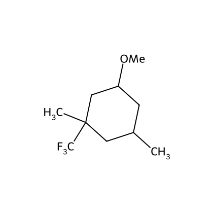 COC1CC(C)CC(C)(C(F)(F)F)C1